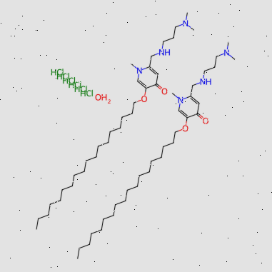 CCCCCCCCCCCCCCCCCCOc1cn(C)c(CNCCCN(C)C)cc1=O.CCCCCCCCCCCCCCCCCCOc1cn(C)c(CNCCCN(C)C)cc1=O.Cl.Cl.Cl.Cl.Cl.Cl.O